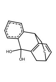 OC1(O)C2=C3C=CC(CCC3c3ccccc31)C2